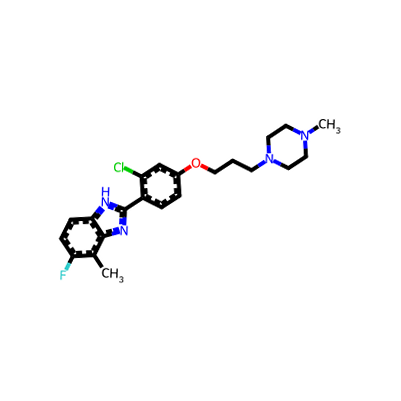 Cc1c(F)ccc2[nH]c(-c3ccc(OCCCN4CCN(C)CC4)cc3Cl)nc12